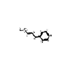 CSC=CCc1ccccc1